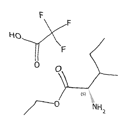 CCOC(=O)[C@@H](N)C(C)CC.O=C(O)C(F)(F)F